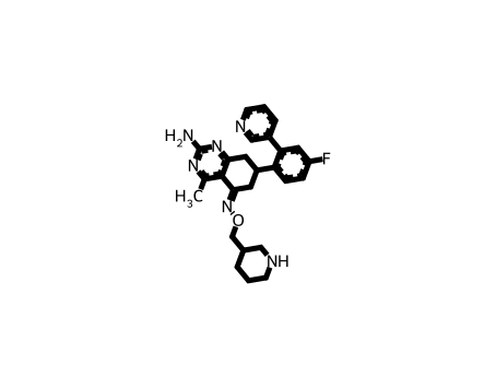 Cc1nc(N)nc2c1C(=NOCC1CCCNC1)CC(c1ccc(F)cc1-c1cccnc1)C2